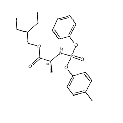 CCC(CC)COC(=O)[C@H](C)NP(=O)(Oc1ccccc1)Oc1ccc(C)cc1